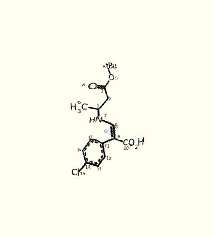 CC(CC(=O)OC(C)(C)C)N/C=C(/C(=O)O)c1ccc(Cl)cc1